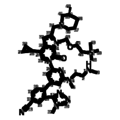 CNCCN(C)c1cc(-c2ccc(C#N)cc2-c2nncn2C)cc(-n2cc(C3CC3)c3cc(CN4CCC[C@H](C)C4)n(COCC[Si](C)(C)C)c3c2=O)n1